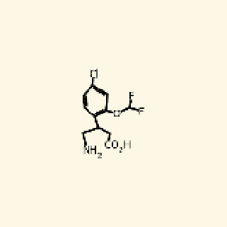 NCC(CC(=O)O)c1ccc(Cl)cc1OC(F)F